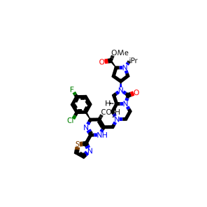 COC(=O)[C@@H]1C[C@H](N2C[C@@H]3CN(CC4=C(C(=O)O)[C@H](c5ccc(F)cc5Cl)N=C(c5nccs5)N4)CCN3C2=O)CN1C(C)C